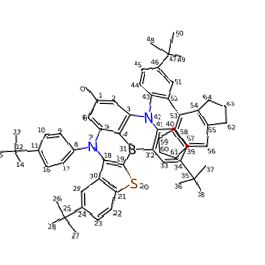 Cc1cc2c3c(c1)N(c1ccc(C(C)(C)C)cc1)c1c(sc4ccc(C(C)(C)C)cc14)B3c1cc(C(C)(C)C)ccc1N2c1ccc(C(C)(C)C)cc1-c1c2c(cc3c1CCC3)CCC2